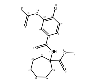 COC(=O)C1(NC(=O)c2ccc(Cl)c(OC(C)=O)c2)CCCCCC1